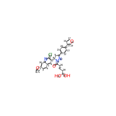 CCOc1ccc2cc(C3CC(c4ccc(-c5ccoc5)cc4)=NN3C(=O)CCCC(O)O)c(Cl)nc2c1